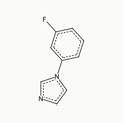 Fc1cccc(-n2c[c]nc2)c1